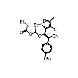 CCSC(=O)OC(C)O/C(=C(/C#N)c1ccc(C(C)(C)C)cc1)c1c(Cl)c(C)nn1CC